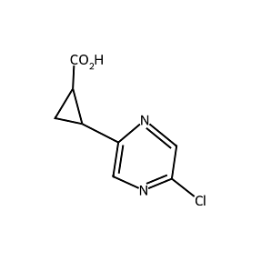 O=C(O)C1CC1c1cnc(Cl)cn1